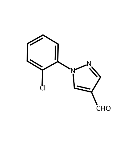 O=Cc1cnn(-c2ccccc2Cl)c1